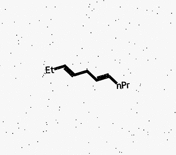 CCC=C[CH]C=CCCC